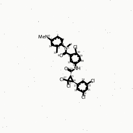 CNc1ccc(N(C)C(=O)c2cc(NC(=O)[C@@H]3[C@@H](c4cc(Cl)cc(Cl)c4)C3(Cl)Cl)ccc2Cl)c(C)c1